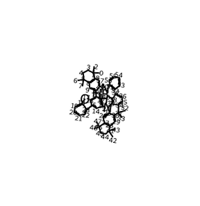 CC1(C)CCC(C)(C)c2cc(-c3c4c(cc5c3oc3ccccc35)N3c5cc6c(cc5C(C)(C)c5cccc(c53)B4)C(C)(C)CCC6(C)C)c(Nc3ccccc3)cc21